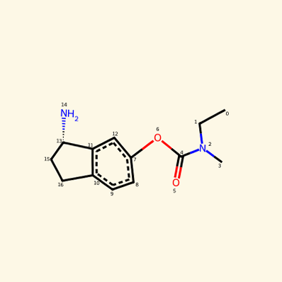 CCN(C)C(=O)Oc1ccc2c(c1)[C@@H](N)CC2